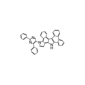 c1ccc(-c2ncc(-n3ccc4c5[nH]c6c7ccccc7c7ccccc7c6c5c5ccccc5c43)c(-c3ccccc3)n2)cc1